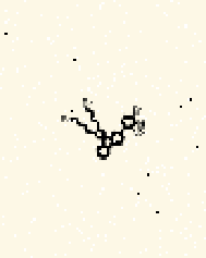 BrCCCCCCC1(CCCCCCBr)c2ccccc2-c2ccc(-c3ccc(Br)c4nsnc34)cc21